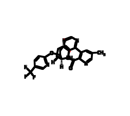 Cc1cnc(C(=O)N2C[C@@H]3CC[C@H]2[C@H](Oc2ccc(C(F)(F)F)cn2)C3)c(-c2ncccc2C)c1